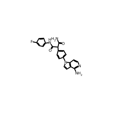 NC(=O)C(C(=O)Nc1ccc(F)cc1)c1ccc(-n2ccc3c(N)nccc32)cc1